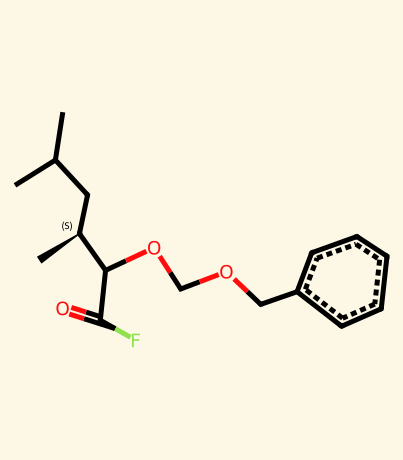 CC(C)C[C@H](C)C(OCOCc1ccccc1)C(=O)F